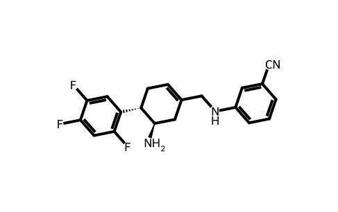 N#Cc1cccc(NCC2=CC[C@@H](c3cc(F)c(F)cc3F)[C@H](N)C2)c1